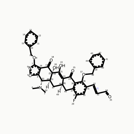 CN(C)[C@@H]1c2onc(OCc3ccccc3)c2C(=O)[C@@]2(O)C(O)=C3C(=O)c4c(c(F)cc(/C=C/C=O)c4OCc4ccccc4)C[C@H]3C[C@@H]12